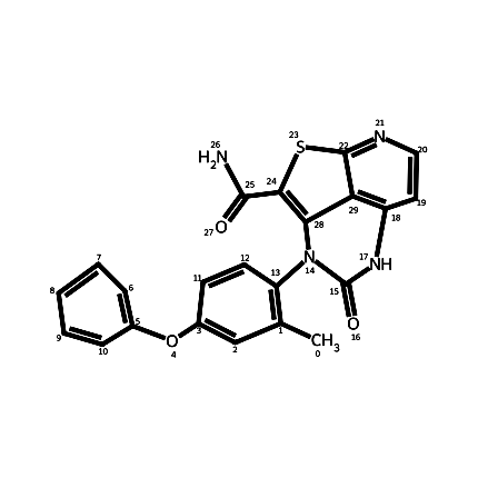 Cc1cc(Oc2ccccc2)ccc1N1C(=O)Nc2ccnc3sc(C(N)=O)c1c23